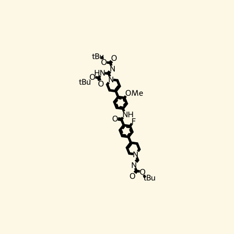 COc1cc(NC(=O)c2ccc(C3=CCN(C=NC(=O)OC(C)(C)C)CC3)cc2F)ccc1C1=CCN(C(=NC(=O)OC(C)(C)C)NC(=O)OC(C)(C)C)CC1